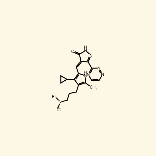 CCN(CC)CCCc1c(C)[nH]c(/C=C2/C(=O)NN=C2c2nccnn2)c1C1CC1